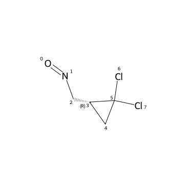 O=NC[C@H]1CC1(Cl)Cl